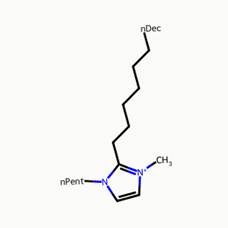 CCCCCCCCCCCCCCCCc1n(CCCCC)cc[n+]1C